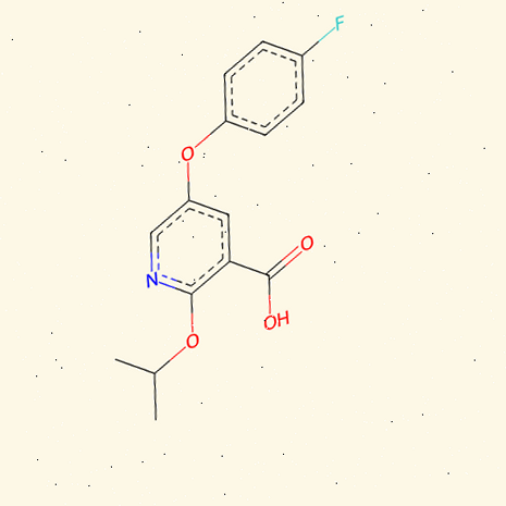 CC(C)Oc1ncc(Oc2ccc(F)cc2)cc1C(=O)O